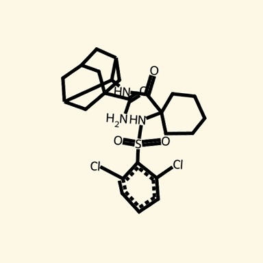 NC(=O)C12CC3CC(C1)C(NC(=O)C1(NS(=O)(=O)c4c(Cl)cccc4Cl)CCCCC1)C(C3)C2